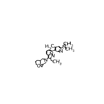 CCc1nn2c(-c3cnc(N(C)C)cc3C)cccc2c1N(CC1CC1)CC1CCCOC1